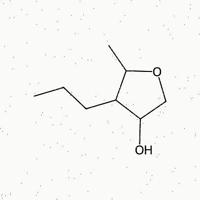 CCCC1C(O)COC1C